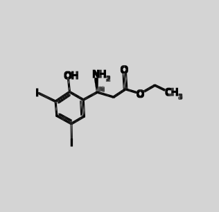 CCOC(=O)C[C@H](N)c1cc(I)cc(I)c1O